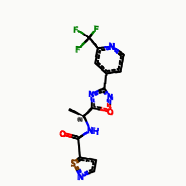 C[C@H](NC(=O)c1ccns1)c1nc(-c2ccnc(C(F)(F)F)c2)no1